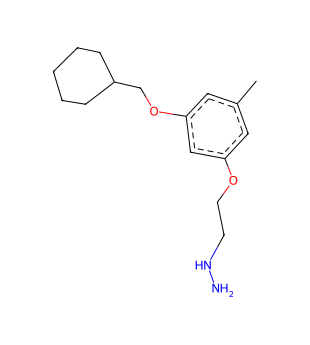 Cc1cc(OCCNN)cc(OCC2CCCCC2)c1